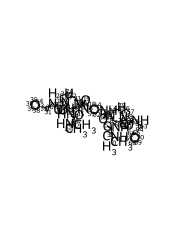 CN[C@@H](C)C(=O)NC1CN(C(=O)Nc2ccc(NC(=O)N3CC[C@H]4CC[C@@H](C(=O)N[C@H]5C[C@@H]5c5ccccc5)N4C(=O)[C@@H](NC(=O)[C@H](C)NC)C3)cc2)CC[C@H]2CC[C@@H](C(=O)N[C@H]3C[C@@H]3c3ccccc3)N2C1=O